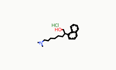 CN(C)CCCCCCC(CO)c1cccc2ccccc12.Cl